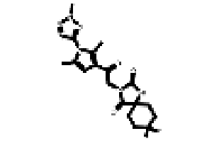 Cc1cc(C(=O)CN2C(=O)NC3(CCC(F)(F)CC3)C2=O)c(C)n1-c1nnn(C)n1